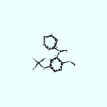 COc1ccc(OC(F)(F)F)cc1N(C)c1[c]cccc1